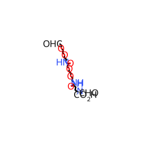 O=CCOCCOCCNC(=O)COCCOCCNC(=O)CC[C@H](NC=O)C(=O)O